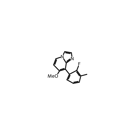 COc1ccn2ccnc2c1-c1cccc(C)c1F